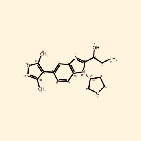 CCC(O)c1nc2cc(-c3c(C)noc3C)ccc2n1[C@@H]1CCOC1